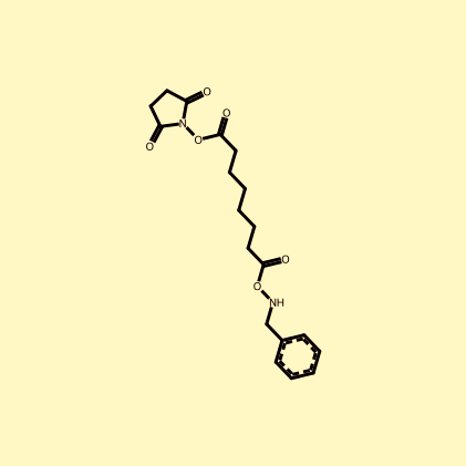 O=C(CCCCCCC(=O)ON1C(=O)CCC1=O)ONCc1ccccc1